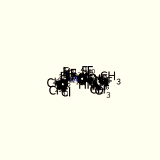 CCN(CC(F)(F)F)C[C@@](C)(C=O)NC(=O)c1ccc(/C(F)=C/C(c2cc(Cl)c(Cl)c(Cl)c2)C(F)(F)F)cc1C(F)(F)F